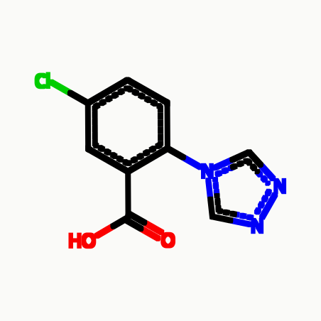 O=C(O)c1cc(Cl)ccc1-n1cnnc1